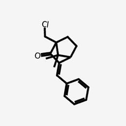 CC1(C)C2CCC1(CCl)C(=O)C2=Cc1ccccc1